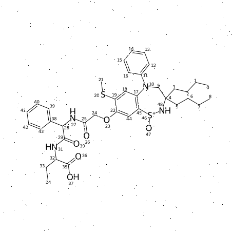 CCCCC1(CCCC)CN(c2ccccc2)c2cc(SC)c(OCC(=O)NC(C(=O)NC(CC)C(=O)O)c3ccccc3)cc2[S+]([O-])N1